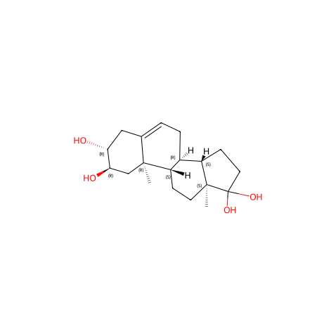 C[C@]12C[C@@H](O)[C@H](O)CC1=CC[C@@H]1[C@@H]2CC[C@@]2(C)[C@H]1CCC2(O)O